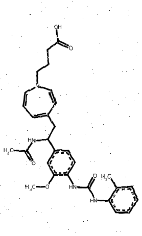 COc1cc(C(CC2=CC=CN(CCCC(=O)O)C=C2)NC(C)=O)ccc1NC(=O)Nc1ccccc1C